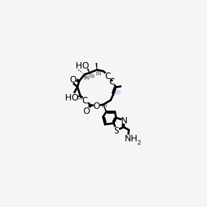 C/C1=C/C[C@@H](c2ccc3sc(CN)nc3c2)OC(=O)C[C@H](O)C(C)(C)C(=O)[C@H](C)[C@@H](O)[C@@H](C)CCC1